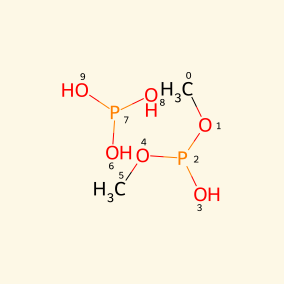 COP(O)OC.OP(O)O